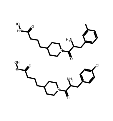 NC(Cc1ccc(Cl)cc1)C(=O)N1CCC(CCCC(=O)NO)CC1.NC(Cc1cccc(Cl)c1)C(=O)N1CCC(CCCC(=O)NO)CC1